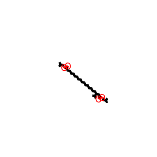 CC(C)COC(=O)CCCCCCCCCCCCCCCCC(CC(=O)OCC(C)C)C(C)C